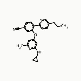 CCCc1ccc(-c2ccc(C#N)cc2Oc2cc(C)nc(NC3CC3)c2)nc1